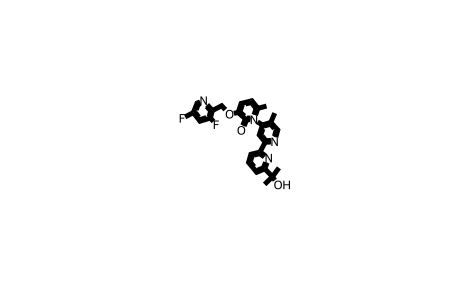 Cc1cnc(-c2cccc(C(C)(C)O)n2)cc1-n1c(C)ccc(OCc2ncc(F)cc2F)c1=O